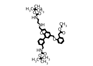 CCOC(=O)Cc1ccccc1OCc1cc(-c2cccc(CNC(=O)OC(C)(C)C)c2)c2oc(CNCCNC(=O)OC(C)(C)C)cc2c1